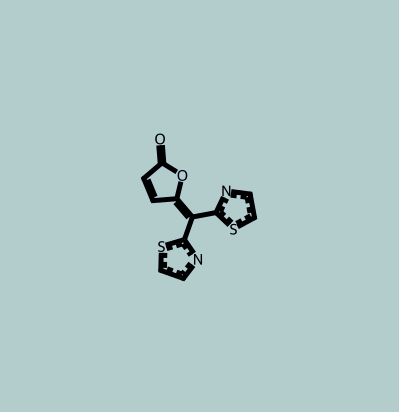 O=C1C=CC(=C(c2nccs2)c2nccs2)O1